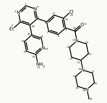 CCc1ncnc(-c2ccc(C(=O)N3CCC(N4CCN(C)CC4)CC3)c(Cl)c2)c1-c1ccc(N)nc1